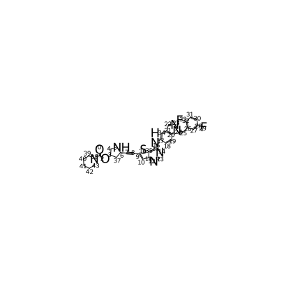 O=C(OC1CNC(C#Cc2cc3ncnc(Nc4ccc5c(cnn5Cc5cc(F)ccc5F)c4)c3s2)C1)N1CCCCC1